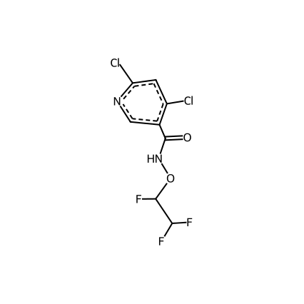 O=C(NOC(F)C(F)F)c1cnc(Cl)cc1Cl